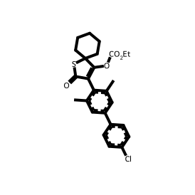 CCOC(=O)OC1=C(c2c(C)cc(-c3ccc(Cl)cc3)cc2C)C(=O)SC12CCCCC2